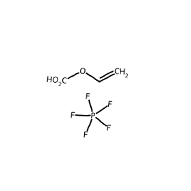 C=COC(=O)O.FP(F)(F)(F)F